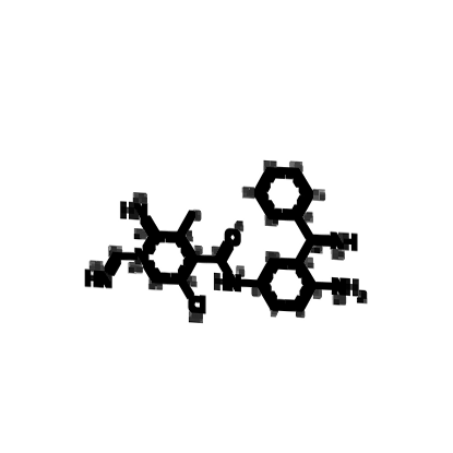 Cc1c(C(=O)Nc2ccc(N)c(C(=N)c3ccccc3)c2)c(Cl)cn(C=N)c1=N